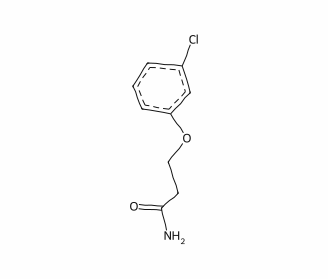 NC(=O)CCOc1cccc(Cl)c1